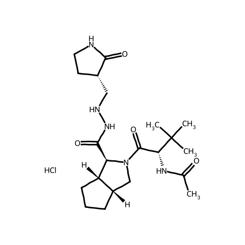 CC(=O)N[C@H](C(=O)N1C[C@@H]2CCC[C@@H]2[C@H]1C(=O)NNC[C@@H]1CCNC1=O)C(C)(C)C.Cl